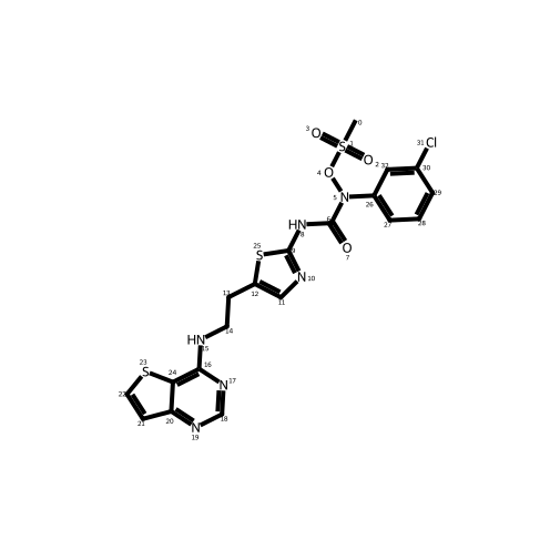 CS(=O)(=O)ON(C(=O)Nc1ncc(CCNc2ncnc3ccsc23)s1)c1cccc(Cl)c1